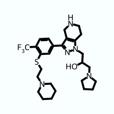 OC(CN1CCCC1)Cn1nc(-c2ccc(C(F)(F)F)c(SCCN3CCCCC3)c2)c2c1CCNC2